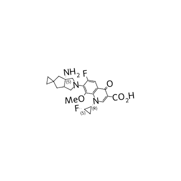 COc1c(N2CC3CC4(CC4)C[C@@]3(N)C2)c(F)cc2c(=O)c(C(=O)O)cn([C@@H]3C[C@@H]3F)c12